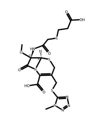 CO[C@@]1(NC(=O)CSCCC(=O)O)C(=O)N2C(C(=O)O)=C(CSc3nnnn3C)CS[C@@H]21